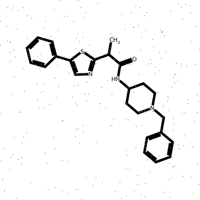 CC(C(=O)NC1CCN(Cc2ccccc2)CC1)c1ncc(-c2ccccc2)s1